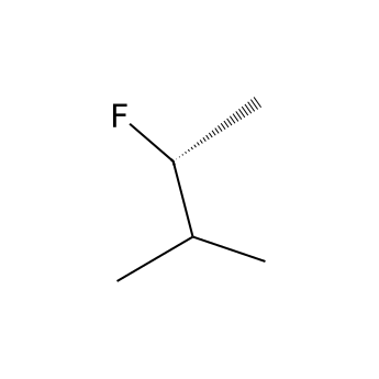 CC(C)[C@@H](C)F